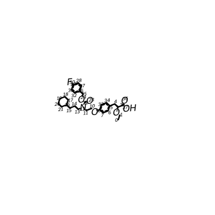 CCOC(Cc1ccc(OCCN(CCCC2CCCCC2)C(=O)OCc2ccc(F)cc2)cc1)C(=O)O